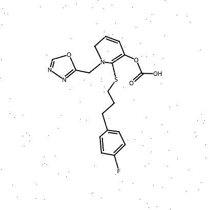 O=C(O)OC1=C(SCCCc2ccc(F)cc2)N(Cc2nnco2)CC=C1